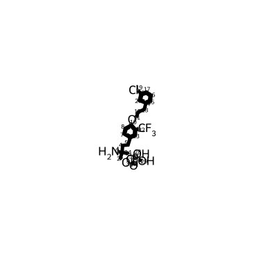 NC(CO)(CCc1ccc(OCCCc2cccc(Cl)c2)c(C(F)(F)F)c1)COP(=O)(O)O